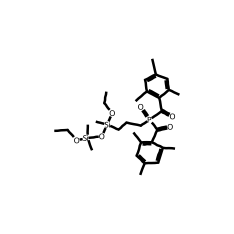 CCO[Si](C)(C)O[Si](C)(CCCP(=O)(C(=O)c1c(C)cc(C)cc1C)C(=O)c1c(C)cc(C)cc1C)OCC